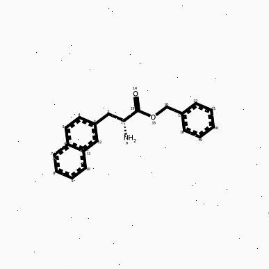 N[C@H](Cc1ccc2ccccc2c1)C(=O)OCc1ccccc1